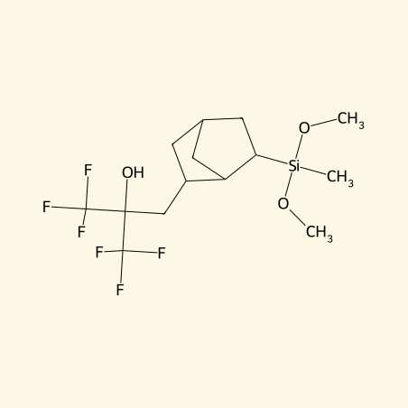 CO[Si](C)(OC)C1CC2CC(CC(O)(C(F)(F)F)C(F)(F)F)C1C2